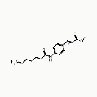 COC(=O)/C=C/c1ccc(NC(=O)CCCCCN)cc1